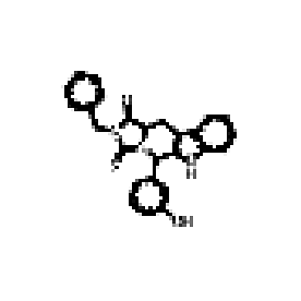 O=C1C2Cc3c([nH]c4ccccc34)C(c3cccc(O)c3)N2C(=S)N1Cc1ccccc1